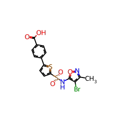 Cc1noc(NS(=O)(=O)c2ccc(-c3ccc(C(=O)O)cc3)s2)c1Br